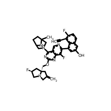 C#Cc1c(F)ccc2cc(O)cc(-c3ncc4c(N5CC6CCC(C)(C5)N6)nc(OC[C@]56CC(=C)CN5C[C@@H](F)C6)nc4c3F)c12